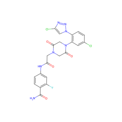 NC(=O)c1ccc(NC(=O)CN2CC(=O)N(c3cc(Cl)ccc3-n3cc(Cl)nn3)CC2=O)cc1F